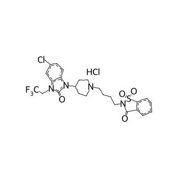 Cl.O=C1c2ccccc2S(=O)(=O)N1CCCCN1CCC(n2c(=O)n(CC(F)(F)F)c3cc(Cl)ccc32)CC1